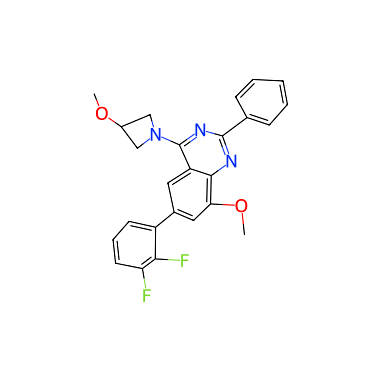 COc1cc(-c2cccc(F)c2F)cc2c(N3CC(OC)C3)nc(-c3ccccc3)nc12